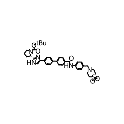 CC(C)(C)OC(=O)N1CCC[C@H]1c1nc(-c2ccc(-c3ccc(C(=O)Nc4ccc(CN5CCS(=O)(=O)CC5)cc4)cc3)cc2)c[nH]1